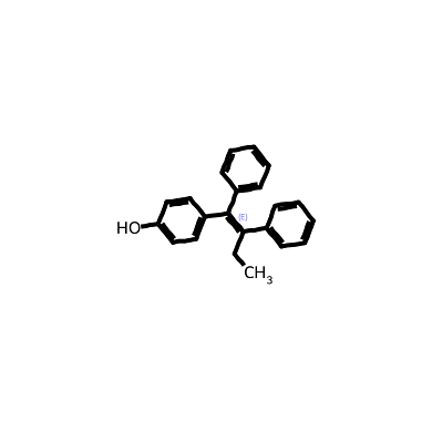 CC/C(=C(/c1ccccc1)c1ccc(O)cc1)c1ccccc1